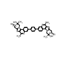 CCOCc1nc2c(N)nc3cc(-c4ccc(-c5ccc6c(c5)nc(N)c5nc(COCC)n(CC(C)(C)O)c56)cc4)ccc3c2n1CC(C)(C)O